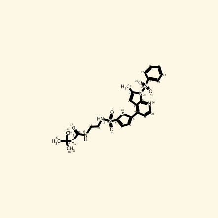 Cc1cc2c(-c3ccc(S(=O)(=O)NCCNC(=O)OC(C)(C)C)s3)ccnc2n1S(=O)(=O)c1ccccc1